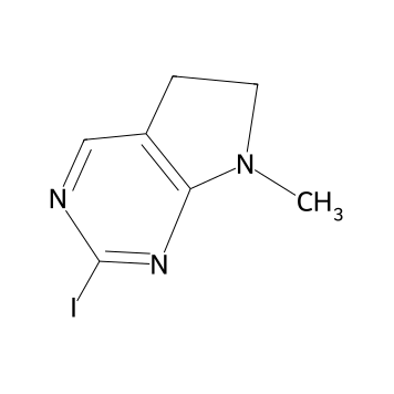 CN1CCc2cnc(I)nc21